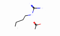 CC(=O)O.CCCCNC(=N)N